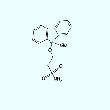 CC(C)(C)[Si](OCCS(N)(=O)=O)(c1ccccc1)c1ccccc1